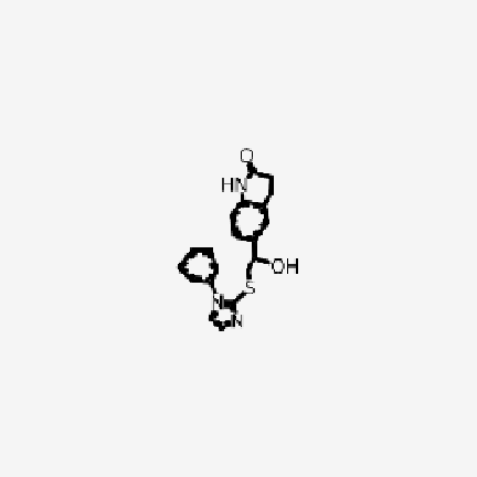 O=C1CCc2cc(C(O)CSc3nccn3-c3ccccc3)ccc2N1